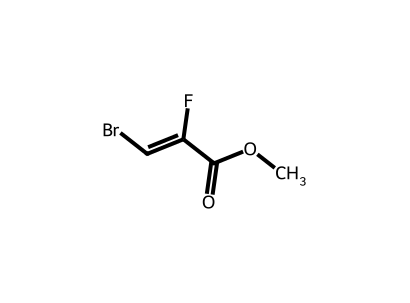 COC(=O)/C(F)=C/Br